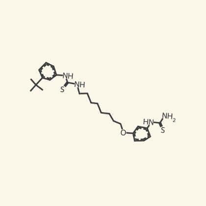 CC(C)(C)c1cccc(NC(=S)NCCCCCCCCOc2cccc(NC(N)=S)c2)c1